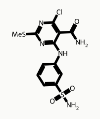 CSc1nc(Cl)c(C(N)=O)c(Nc2cccc(S(N)(=O)=O)c2)n1